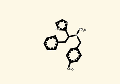 O=Cc1ccc(CN(C(=O)O)C(Cc2ccccc2)c2ncc[nH]2)cc1